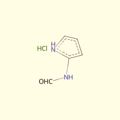 Cl.O=CNc1ccc[nH]1